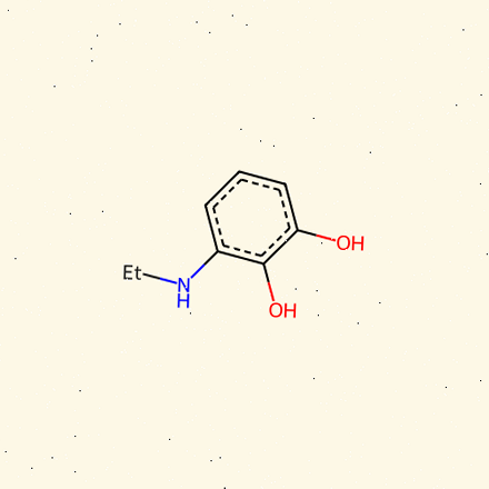 CCNc1cccc(O)c1O